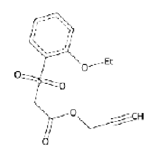 C#CCOC(=O)CS(=O)(=O)c1ccccc1OCC